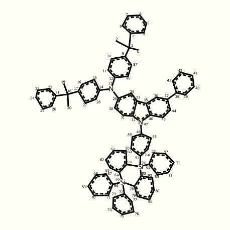 CC(C)(c1ccccc1)c1ccc(N(c2ccc(C(C)(C)c3ccccc3)cc2)c2ccc3c(c2)c2cc(-c4ccccc4)ccc2n3-c2ccc([Si]3(c4ccccc4)c4ccccc4[Si](c4ccccc4)(c4ccccc4)c4ccccc43)cc2)cc1